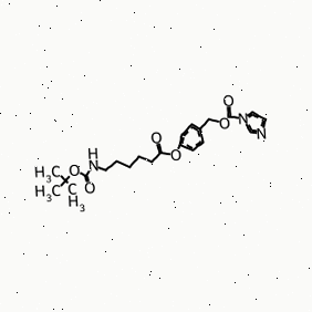 CC(C)(C)OC(=O)NCCCCCC(=O)Oc1ccc(COC(=O)n2ccnc2)cc1